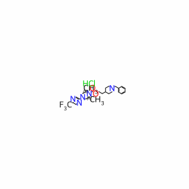 C[C@@H]1CN(c2cnc(C(F)(F)F)cn2)C[C@H](C)N1C(=O)OCCC1CCN(Cc2ccccc2)CC1.Cl